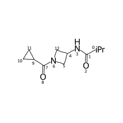 CC(C)C(=O)NC1CN(C(=O)C2CC2)C1